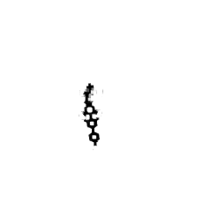 Cc1cc(-c2ccc(F)cc2)cc(C)c1C1C(=O)CC2(CC1=O)CN(C(=O)NC(C)(C)C)C2